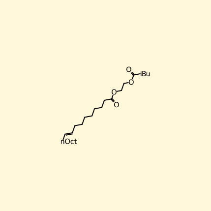 CCCCCCCC/C=C/CCCCCCCC(=O)OCCOC(=O)C(C)CC